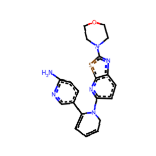 Nc1ccc(C2=CC=CCN2c2ccc3nc(N4CCOCC4)sc3n2)cn1